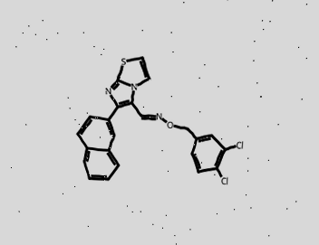 Clc1ccc(CON=Cc2c(-c3ccc4ccccc4c3)nc3sccn23)cc1Cl